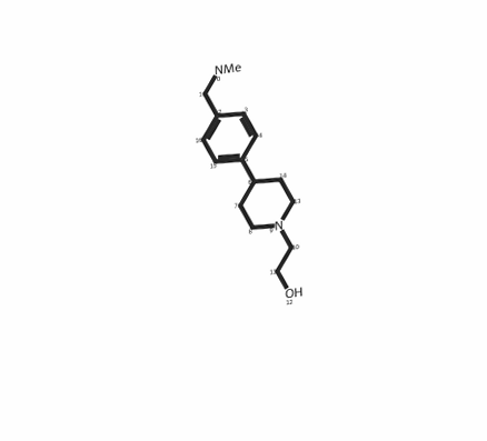 CNCc1ccc(C2CCN(CCO)CC2)cc1